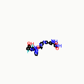 C#Cc1c(F)ccc2cc(O)cc(-c3ncc4c(N5CC6CCC(C5)N6)nc(OCC5(CN6CCC(CN7CCC(c8ccc9c(C%10CCC(=O)NC%10=O)n[nH]c9c8)CC7)CC6)CC5)nc4c3F)c12